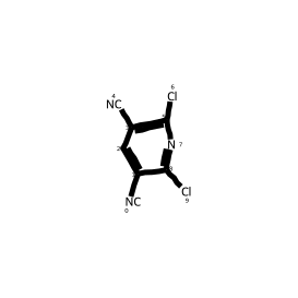 [C-]#[N+]c1cc(C#N)c(Cl)nc1Cl